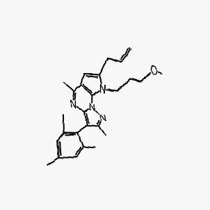 C=CCc1cc2c(C)nc3c(-c4c(C)cc(C)cc4C)c(C)nn3c2n1CCCOC